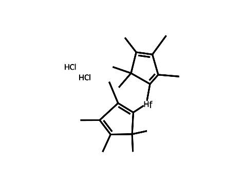 CC1=C(C)C(C)(C)[C]([Hf][C]2=C(C)C(C)=C(C)C2(C)C)=C1C.Cl.Cl